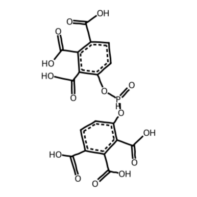 O=C(O)c1ccc(O[PH](=O)Oc2ccc(C(=O)O)c(C(=O)O)c2C(=O)O)c(C(=O)O)c1C(=O)O